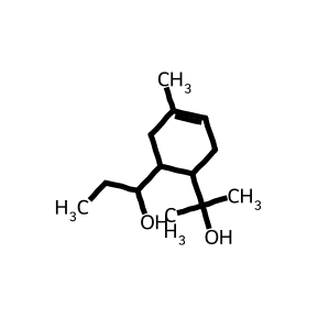 CCC(O)C1CC(C)=CCC1C(C)(C)O